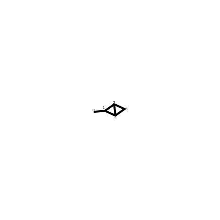 CC1C2CC12